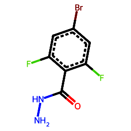 NNC(=O)c1c(F)cc(Br)cc1F